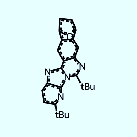 CC(C)(C)c1ccc2nc3c4cc5c6ccc(o6)c5cc4nc(C(C)(C)C)n3c2n1